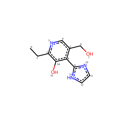 CCc1ncc(CO)c(-c2ncc[nH]2)c1O